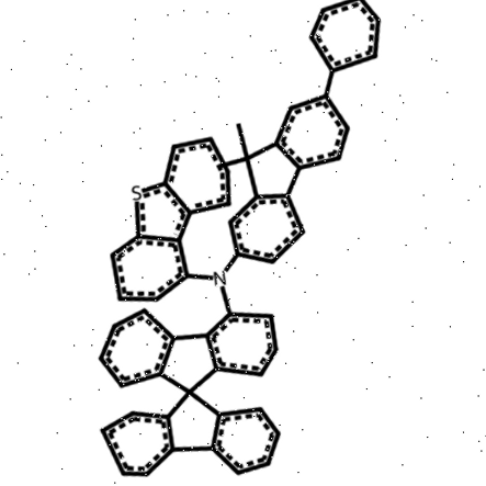 CC1(C)c2cc(-c3ccccc3)ccc2-c2ccc(N(c3cccc4c3-c3ccccc3C43c4ccccc4-c4ccccc43)c3cccc4sc5ccccc5c34)cc21